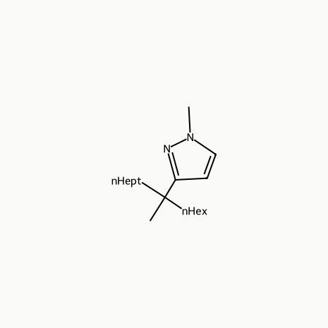 CCCCCCCC(C)(CCCCCC)c1ccn(C)n1